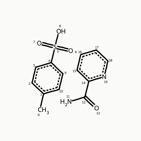 Cc1ccc(S(=O)(=O)O)cc1.NC(=O)c1ccccn1